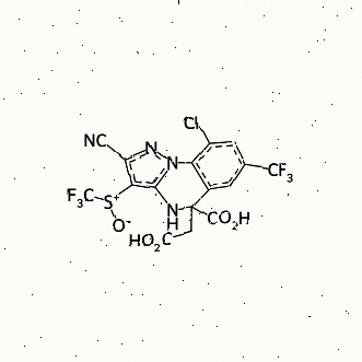 N#Cc1nn2c(c1[S+]([O-])C(F)(F)F)NC(CC(=O)O)(C(=O)O)c1cc(C(F)(F)F)cc(Cl)c1-2